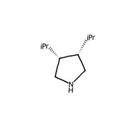 CC(C)[C@H]1CNC[C@H]1C(C)C